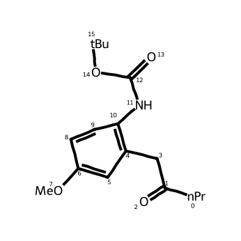 CCCC(=O)Cc1cc(OC)ccc1NC(=O)OC(C)(C)C